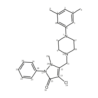 Cc1cc(C)cc(N2CCN(Cc3c(Cl)c(=O)n(-c4ccccc4)n3C)CC2)c1